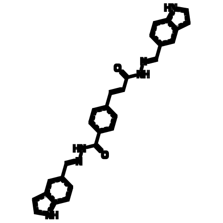 O=C(/C=C/c1ccc(C(=O)N/N=C/c2ccc3[nH]ccc3c2)cc1)N/N=C/c1ccc2[nH]ccc2c1